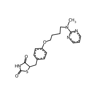 CN(CCCCOc1ccc(CC2SC(=O)NC2=O)cc1)c1ncccn1